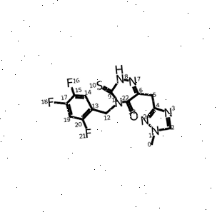 Cn1cnc(Cc2n[nH]c(=S)n(Cc3cc(F)c(F)cc3F)c2=O)n1